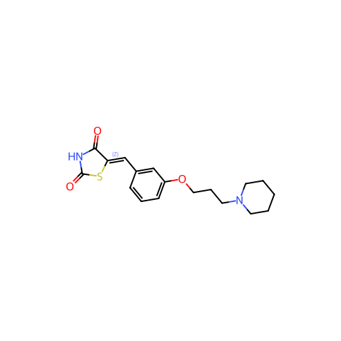 O=C1NC(=O)/C(=C/c2cccc(OCCCN3CCCCC3)c2)S1